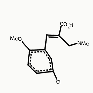 CNCC(=Cc1cc(Cl)ccc1OC)C(=O)O